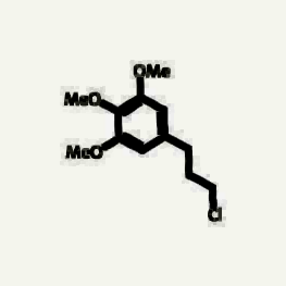 COc1cc(CCCCl)cc(OC)c1OC